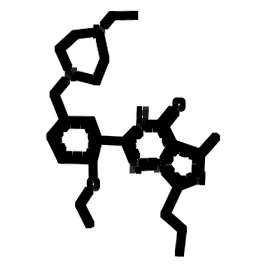 CCCc1nc(C)c2c(=O)[nH]c(-c3cc(CN4CCN(CC)CC4)ccc3OCC)nn12